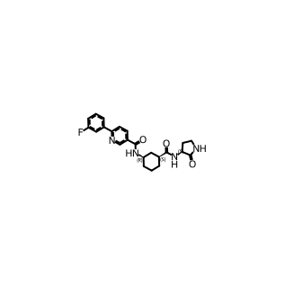 O=C(N[C@@H]1CCC[C@H](C(=O)N[C@H]2CCNC2=O)C1)c1ccc(-c2cccc(F)c2)nc1